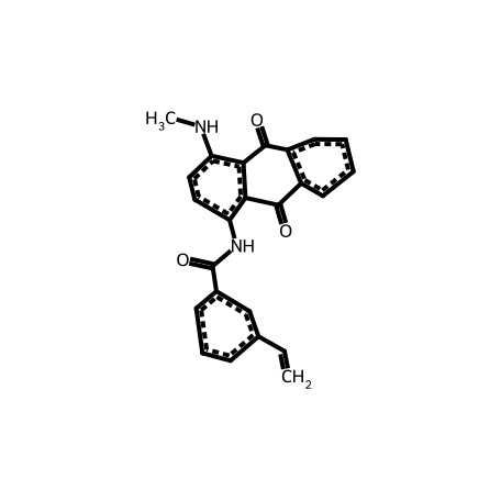 C=Cc1cccc(C(=O)Nc2ccc(NC)c3c2C(=O)c2ccccc2C3=O)c1